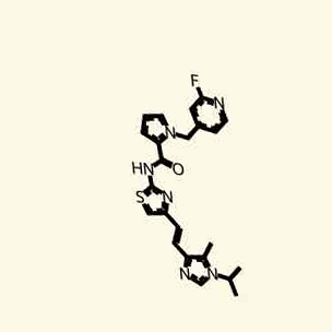 Cc1c(C=Cc2csc(NC(=O)c3cccn3Cc3ccnc(F)c3)n2)ncn1C(C)C